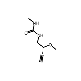 C#C[C@H](CNC(=O)NC)OC